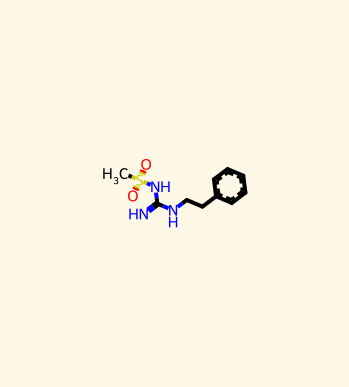 CS(=O)(=O)NC(=N)NCCc1ccccc1